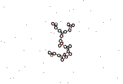 c1ccc(-c2ccc(-c3ccccc3N(c3ccc(-c4cccc(-n5c6ccccc6c6cc(-c7cc8cc(-c9ccc(N(c%10ccc(-c%11cccc(-n%12c%13ccccc%13c%13ccccc%13%12)c%11)cc%10)c%10ccc(-c%11ccc%12c(c%11)oc%11ccccc%11%12)cc%10)cc9)ccc8c8ccccc78)ccc65)c4)cc3)c3ccc(-c4ccc5c(c4)oc4ccccc45)cc3)cc2)cc1